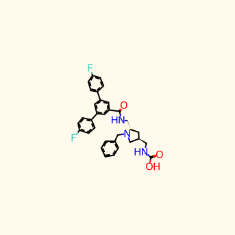 O=C(O)NC[C@@H]1C[C@@H](CNC(=O)c2cc(-c3ccc(F)cc3)cc(-c3ccc(F)cc3)c2)N(Cc2ccccc2)C1